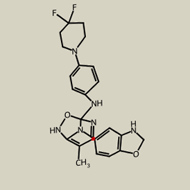 CC1=C2NOC(Nc3ccc(N4CCC(F)(F)CC4)cc3)(N=C1)N2c1ccc2c(c1)NCO2